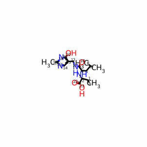 CCC(NC(CC(C)C)C(=O)NCc1cnc(C)nc1O)C(=O)O